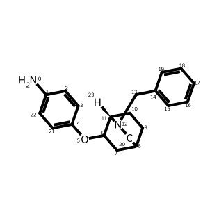 Nc1ccc(OC2CC3CC[C@@H]2N(Cc2ccccc2)C3)cc1